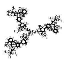 CC(C)(O)c1cn(-c2ccc(C3=CC(S(C)(=O)=O)=C(COCOP(=O)(OCOCC4=C(S(C)(=O)=O)C=C(c5ccc(-n6cc(C(C)(C)O)nc6C(C)(C)c6c(Cl)cccc6Cl)cc5)CC4(F)F)OCOCC4=C(S(C)(=O)=O)C=C(c5ccc(-n6cc(C(C)(C)O)nc6C(C)(C)c6c(Cl)cccc6Cl)cc5)CC4(F)F)C(F)(F)C3)cc2)c(C(C)(C)c2c(Cl)cccc2Cl)n1